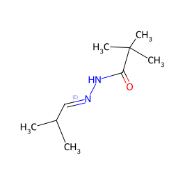 CC(C)/C=N/NC(=O)C(C)(C)C